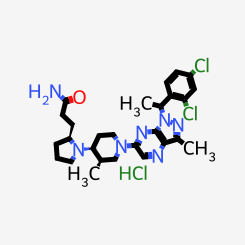 Cc1nn(C(C)c2ccc(Cl)cc2Cl)c2nc(N3CC[C@H](N4CCC[C@H]4CCC(N)=O)[C@H](C)C3)cnc12.Cl